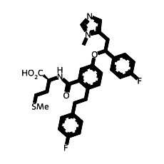 CSCC[C@H](NC(=O)c1cc(OC(Cc2cncn2C)c2ccc(F)cc2)ccc1CCc1ccc(F)cc1)C(=O)O